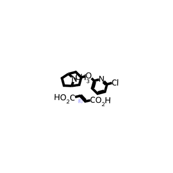 CN1C2CCC1CC(Oc1cccc(Cl)n1)C2.O=C(O)/C=C/C(=O)O